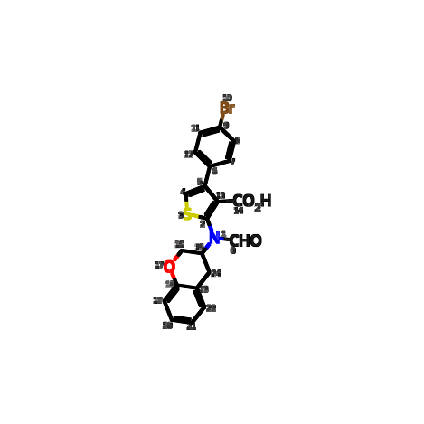 O=CN(c1scc(-c2ccc(Br)cc2)c1C(=O)O)C1COc2ccccc2C1